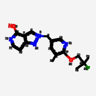 Cc1cc(Cn2cc3c(O)nccc3n2)cnc1OCC(C)(C)F